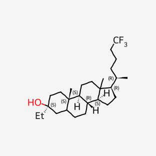 CC[C@]1(O)CC[C@@]2(C)C(CC[C@H]3[C@@H]4CC[C@H]([C@H](C)CCCC(F)(F)F)C4(C)CC[C@@H]32)C1